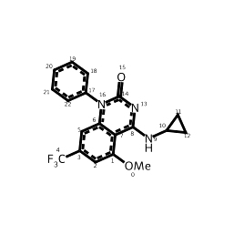 COc1cc(C(F)(F)F)cc2c1c(NC1CC1)nc(=O)n2-c1ccccc1